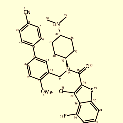 COc1ccc(-c2ccc(C#N)cc2)cc1CN(C(=O)c1sc2cccc(F)c2c1Cl)[C@H]1CC[C@H](N(C)C)CC1